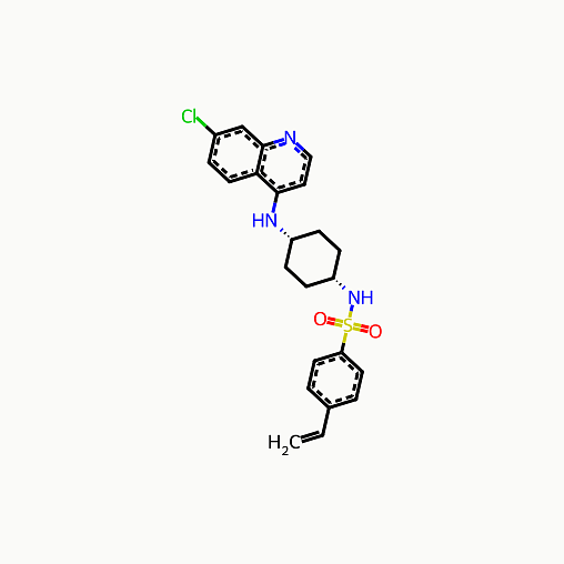 C=Cc1ccc(S(=O)(=O)N[C@H]2CC[C@@H](Nc3ccnc4cc(Cl)ccc34)CC2)cc1